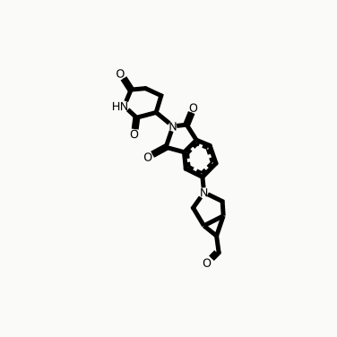 O=CC1C2CN(c3ccc4c(c3)C(=O)N(C3CCC(=O)NC3=O)C4=O)CC12